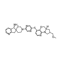 COCC1C[C@H]2COc3c(Sc4cnc(N5CCC6(CC5)Cc5ncccc5[C@H]6N)cn4)ccnc3N2C1